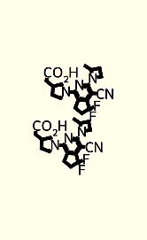 CC1CCN1c1nc(N2CCC(CC(=O)O)C2)c2c(c1C#N)C(F)(F)CC2.CC1CCN1c1nc(N2CCC(CC(=O)O)C2)c2c(c1C#N)C(F)(F)CC2